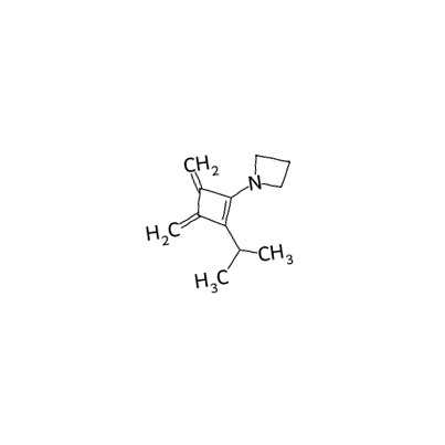 C=C1C(=C)C(N2CCC2)=C1C(C)C